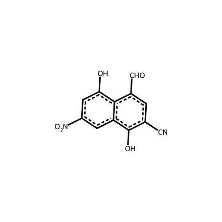 N#Cc1cc(C=O)c2c(O)cc([N+](=O)[O-])cc2c1O